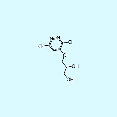 OC[C@H](O)COc1cc(Cl)nnc1Cl